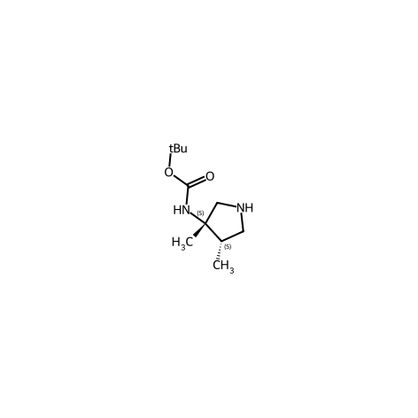 C[C@H]1CNC[C@@]1(C)NC(=O)OC(C)(C)C